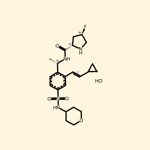 C[C@H](NC(=O)[C@@H]1C[C@@H](F)CN1)c1ccc(S(=O)(=O)NC2CCOCC2)cc1/C=C/C1CC1.Cl